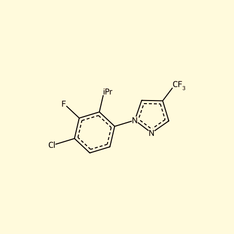 CC(C)c1c(-n2cc(C(F)(F)F)cn2)ccc(Cl)c1F